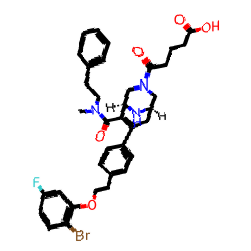 CN(CCc1ccccc1)C(=O)C1=C(c2ccc(CCOc3cc(F)ccc3Br)cc2)C[C@@H]2CN(C(=O)CCCC(=O)O)C[C@H]1N2